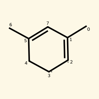 CC1=[C][CH]CC(C)=C1